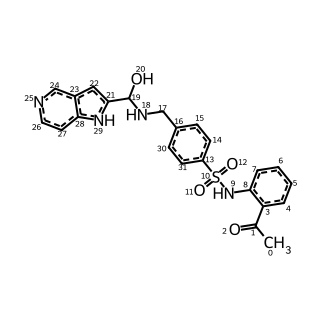 CC(=O)c1ccccc1NS(=O)(=O)c1ccc(CNC(O)c2cc3cnccc3[nH]2)cc1